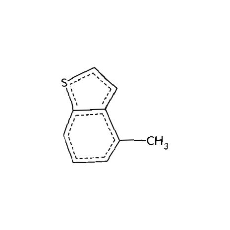 Cc1cccc2sccc12